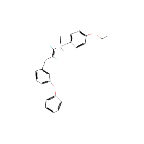 CCOc1ccc([Si](C)(C)C(F)=C(F)Cc2cccc(Oc3ccccc3)c2)cc1